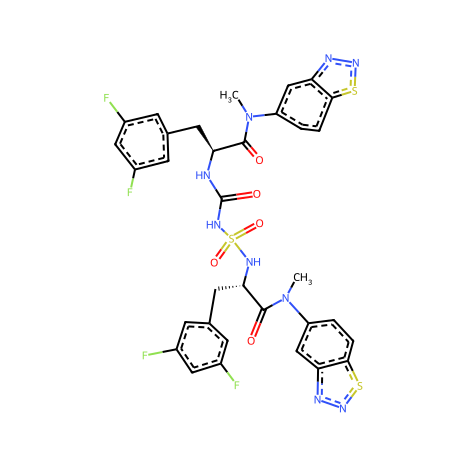 CN(C(=O)[C@H](Cc1cc(F)cc(F)c1)NC(=O)NS(=O)(=O)N[C@@H](Cc1cc(F)cc(F)c1)C(=O)N(C)c1ccc2snnc2c1)c1ccc2snnc2c1